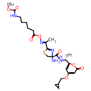 CCC[C@@H](NC(=O)[C@]1(N)CSC(/C(C)=N/OC(=O)CCCCCNC(=O)OC(C)(C)C)=N1)c1cc(OCC2CC2)cc(=O)o1